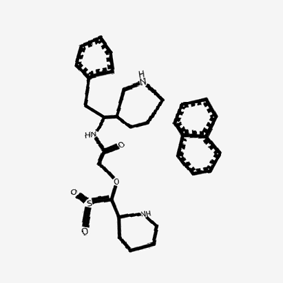 O=C(COC(C1CCCCN1)=S(=O)=O)NC(Cc1ccccc1)C1CCCNC1.c1ccc2ccccc2c1